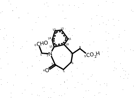 O=CCN1C(=O)CCC(CC(=O)O)c2ccccc21